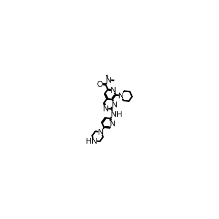 CN(C)C(=O)c1cc2cnc(Nc3ccc(N4CCNCC4)cn3)nc2c(N2CCCCC2)n1